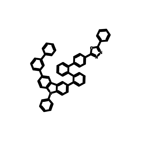 c1ccc(-c2cccc(-c3ccc4c(c3)c3cc(-c5ccccc5-c5ccccc5-c5ccc(-c6nnc(-c7ccccc7)o6)cc5)ccc3n4-c3ccccc3)c2)cc1